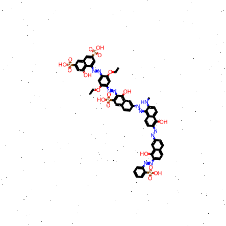 CCOc1cc(N=Nc2cc(S(=O)(=O)O)cc3cc(S(=O)(=O)O)cc(O)c23)c(OCC)cc1N=Nc1c(S(=O)(=O)O)cc2ccc(N=Nc3c(NC)ccc4c(O)c(N=Nc5ccc6ccc(N=Nc7ccccc7S(=O)(=O)O)c(O)c6c5)ccc34)cc2c1O